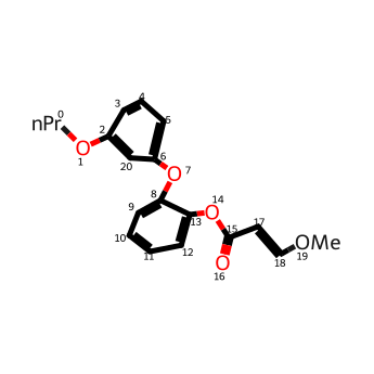 CCCOc1cccc(Oc2ccccc2OC(=O)C=COC)c1